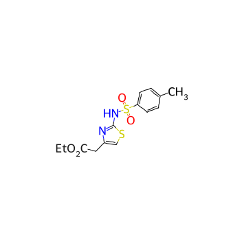 CCOC(=O)Cc1csc(NS(=O)(=O)c2ccc(C)cc2)n1